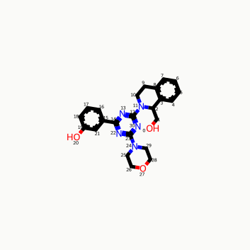 OCC1c2ccccc2CCN1c1nc(-c2cccc(O)c2)nc(N2CCOCC2)n1